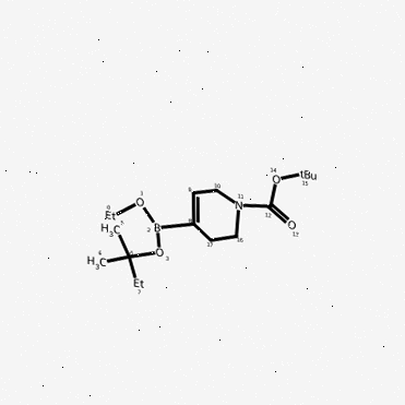 CCOB(OC(C)(C)CC)C1=CCN(C(=O)OC(C)(C)C)CC1